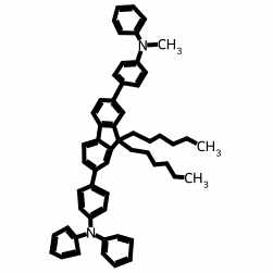 CCCCCCC1(CCCCCC)c2cc(-c3ccc(N(C)c4ccccc4)cc3)ccc2-c2ccc(-c3ccc(N(c4ccccc4)c4ccccc4)cc3)cc21